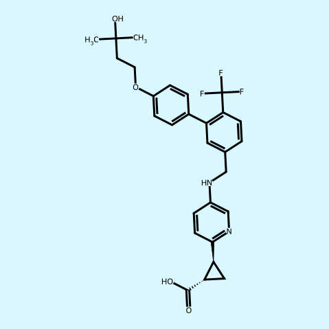 CC(C)(O)CCOc1ccc(-c2cc(CNc3ccc([C@H]4C[C@@H]4C(=O)O)nc3)ccc2C(F)(F)F)cc1